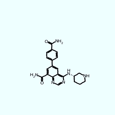 NC(=O)c1ccc(-c2cc(C(N)=O)c3ncnc(N[C@H]4CCCNC4)c3c2)cc1